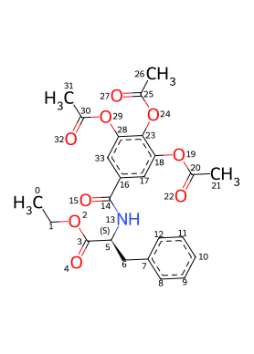 CCOC(=O)[C@H](Cc1ccccc1)NC(=O)c1cc(OC(C)=O)c(OC(C)=O)c(OC(C)=O)c1